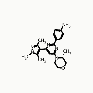 Cc1nn(C)c(C)c1-c1cc(N2CCOC[C@H]2C)nc(-c2ccc(N)cc2)n1